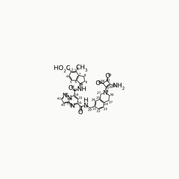 Cc1c(C(=O)O)ccc2c1CC[C@@H]2NC(=O)c1cc(C(=O)NCc2ccc3c(c2)CN(c2c(N)c(=O)c2=O)CC3)nc2ccnn12